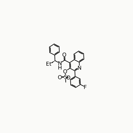 CC[C@H](NC(=O)c1c(OS(C)(=O)=O)c(-c2cccc(F)c2)nc2ccccc12)c1ccccc1